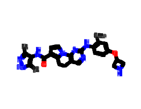 CCc1n[nH]c(CC)c1NC(=O)c1ccn2c1CCc1cnc(Nc3ccc(OC4CNC4)cc3OC)nc1-2